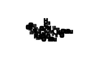 Cc1nc(C2CCN(C(=O)OC(C)(C)C)CC2)cc2c1OCc1c(N3CCS(=O)(=O)CC3)ncnc1N2C(=O)OC(C)(C)C